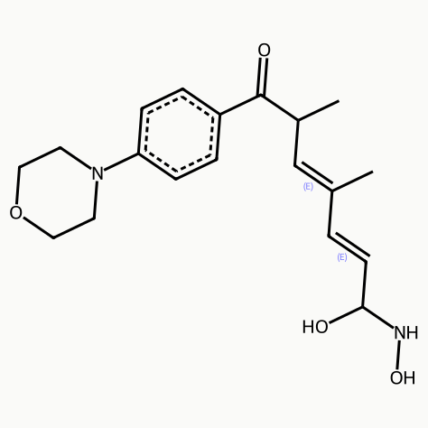 CC(/C=C/C(O)NO)=C\C(C)C(=O)c1ccc(N2CCOCC2)cc1